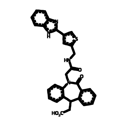 O=C(O)CC1c2ccccc2C(=O)N(CC(=O)NCc2cc(-c3nc4ccccc4[nH]3)cs2)c2ccccc21